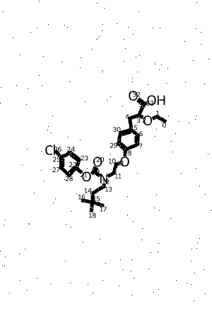 CCOC(Cc1ccc(OCCN(CCC(C)(C)C)C(=O)Oc2ccc(Cl)cc2)cc1)C(=O)O